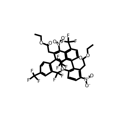 CCOC(=O)Cc1c([N+](=O)[O-])ccc(Oc2ccc([N+](=O)[O-])c(CC(=O)OCC)c2-c2ccc(C(F)(F)F)cc2C(F)(F)F)c1-c1ccc(C(F)(F)F)cc1C(F)(F)F